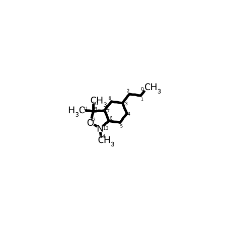 CCCC1CCC2C(C1)C(C)(C)ON2C